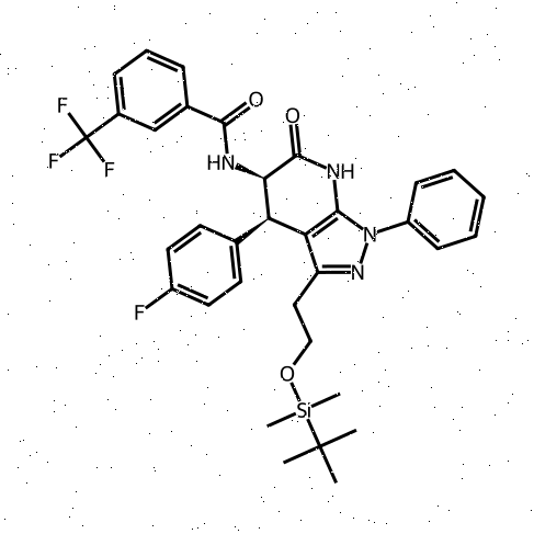 CC(C)(C)[Si](C)(C)OCCc1nn(-c2ccccc2)c2c1[C@@H](c1ccc(F)cc1)[C@@H](NC(=O)c1cccc(C(F)(F)F)c1)C(=O)N2